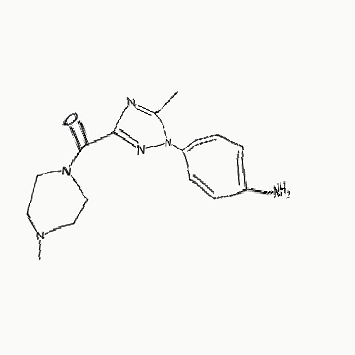 Cc1nc(C(=O)N2CCN(C)CC2)nn1-c1ccc(N)cc1